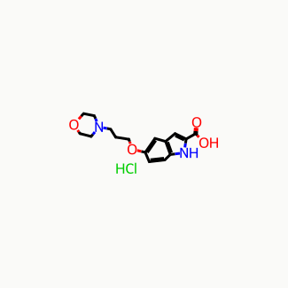 Cl.O=C(O)c1cc2cc(OCCCN3CCOCC3)ccc2[nH]1